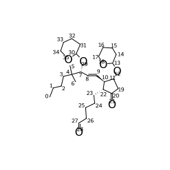 CCCCC(C)(C)[C@@H](/C=C/[C@H]1[C@H](OC2CCCCO2)CC(=O)[C@@H]1CCCCC=O)OC1CCCCO1